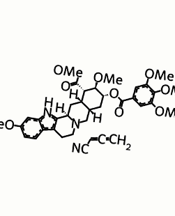 C=C=CC#N.COC(=O)[C@H]1[C@H]2C[C@@H]3c4[nH]c5cc(OC)ccc5c4CCN3C[C@H]2C[C@@H](OC(=O)c2cc(OC)c(OC)c(OC)c2)[C@@H]1OC